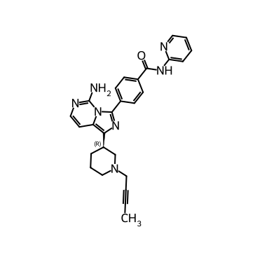 CC#CCN1CCC[C@@H](c2nc(-c3ccc(C(=O)Nc4ccccn4)cc3)n3c(N)nccc23)C1